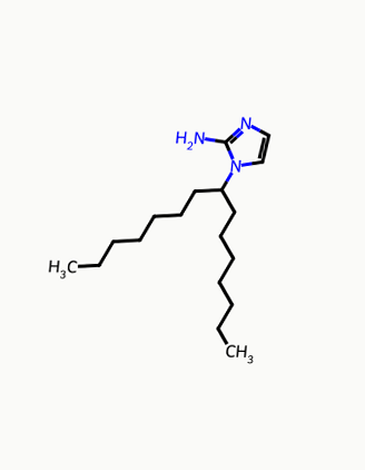 CCCCCCCC(CCCCCCC)n1ccnc1N